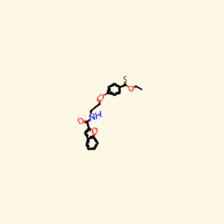 CCOC(=S)c1ccc(OCCNC(=O)c2cc3ccccc3o2)cc1